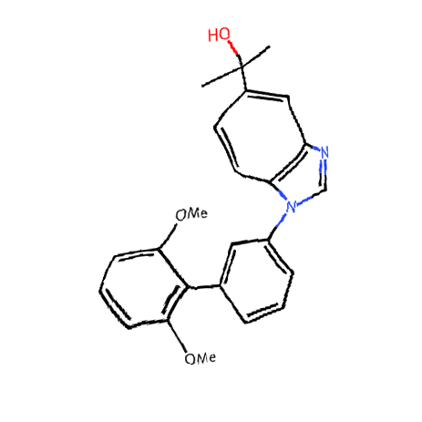 COc1cccc(OC)c1-c1cccc(-n2cnc3cc(C(C)(C)O)ccc32)c1